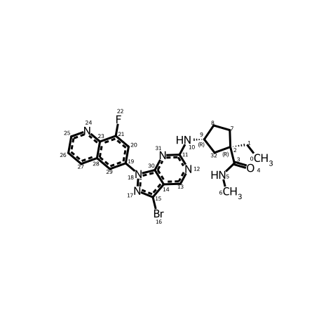 CC[C@@]1(C(=O)NC)CC[C@@H](Nc2ncc3c(Br)nn(-c4cc(F)c5ncccc5c4)c3n2)C1